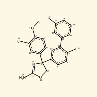 COc1ccc(C2(c3ccc(F)c(-c4cncc(C)c4)c3)COC(N)=N2)cc1Cl